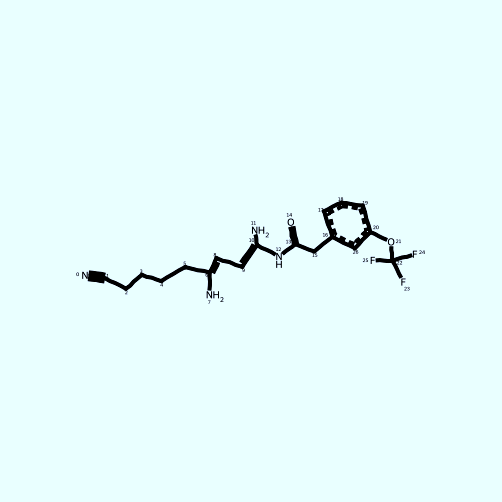 N#CCCCC/C(N)=C/C=C(\N)NC(=O)Cc1cccc(OC(F)(F)F)c1